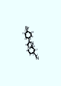 N#Cc1ccn2cc(-c3ccc(Br)cc3)nc2c1